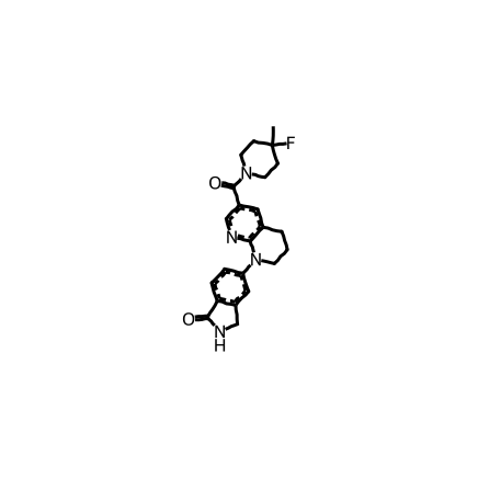 CC1(F)CCN(C(=O)c2cnc3c(c2)CCCN3c2ccc3c(c2)CNC3=O)CC1